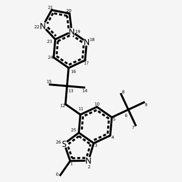 Cc1nc2cc(C(C)(C)C)cc(CC(C)(C)c3cnn4ccnc4c3)c2s1